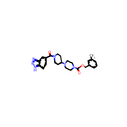 O=C(OCc1cccc(C(F)(F)F)c1)N1CCN(C2CCN(C(=O)c3ccc4[nH]nnc4c3)CC2)CC1